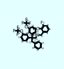 Oc1c(F)cccc1CNCC(Cc1ccccc1)(c1cccc(OC(F)(F)F)c1)c1cccc(OC(F)(F)F)c1